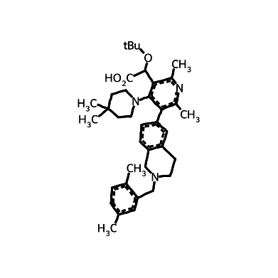 Cc1ccc(C)c(CN2CCc3cc(-c4c(C)nc(C)c(C(OC(C)(C)C)C(=O)O)c4N4CCC(C)(C)CC4)ccc3C2)c1